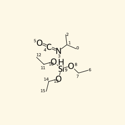 CC(C)N=C=O.CCO[SiH](OCC)OCC